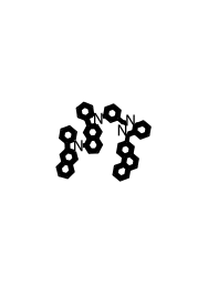 c1cc(-c2nc(-c3ccc4c(ccc5ccccc54)c3)c3ccccc3n2)cc(-n2c3ccccc3c3cc4c(-n5c6ccccc6c6cc7ccccc7cc65)cccc4cc32)c1